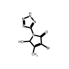 CC1=C(Br)C(=O)N(c2nn[nH]n2)C1O